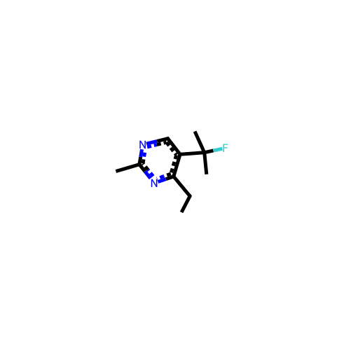 CCc1nc(C)ncc1C(C)(C)F